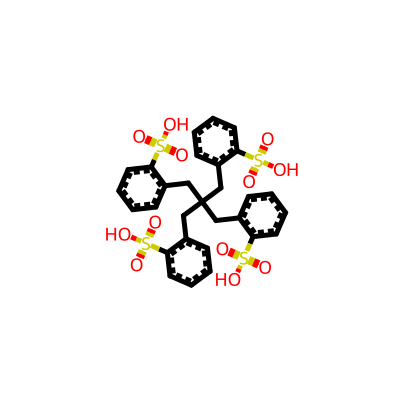 O=S(=O)(O)c1ccccc1CC(Cc1ccccc1S(=O)(=O)O)(Cc1ccccc1S(=O)(=O)O)Cc1ccccc1S(=O)(=O)O